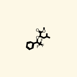 COC(=O)C(CC(C)C)OC(c1ccccc1)C(F)(F)F